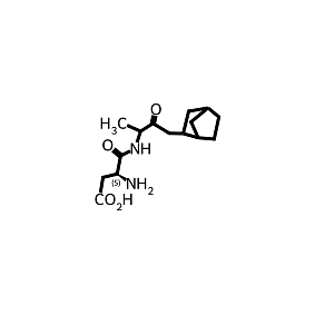 CC(NC(=O)[C@@H](N)CC(=O)O)C(=O)CC1CC2CCC1C2